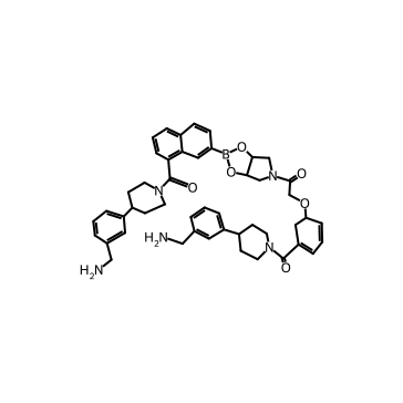 NCc1cccc(C2CCN(C(=O)C3=CC=CC(OCC(=O)N4CC5OB(c6ccc7cccc(C(=O)N8CCC(c9cccc(CN)c9)CC8)c7c6)OC5C4)C3)CC2)c1